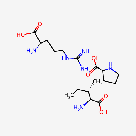 CC[C@H](C)[C@H](N)C(=O)O.N=C(N)NCCC[C@H](N)C(=O)O.O=C(O)[C@@H]1CCCN1